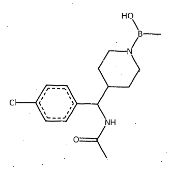 CB(O)N1CCC(C(NC(C)=O)c2ccc(Cl)cc2)CC1